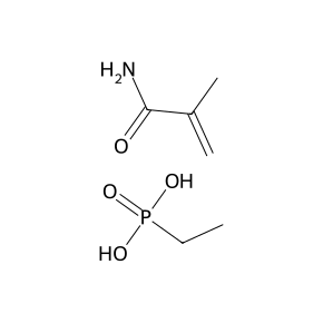 C=C(C)C(N)=O.CCP(=O)(O)O